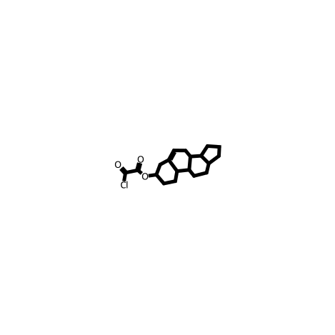 O=C(Cl)C(=O)OC1CCC2C(=CCC3C4CCCC4CCC23)C1